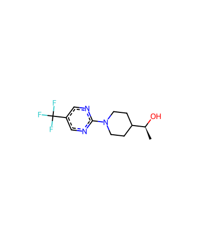 C[C@H](O)C1CCN(c2ncc(C(F)(F)F)cn2)CC1